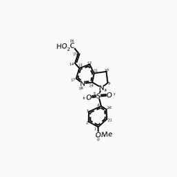 COc1ccc(S(=O)(=O)N2CCc3cc(C=CC(=O)O)cnc32)cc1